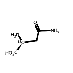 NC(=O)C[13C@H](N)C(=O)O